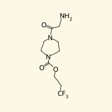 NCC(=O)N1CCN(C(=O)OCCC(F)(F)F)CC1